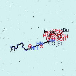 CC/C=C\C/C=C\C/C=C\C/C=C\C/C=C\C/C=C\CCC(=O)NCCCCCC(=O)NCCCC[C@H](NC(=O)O[C@H](O)C(O)OC(COC1OC(COC(C)(C)C)C(O)C(O)C1O)[C@H](C)O)C(=O)OCC